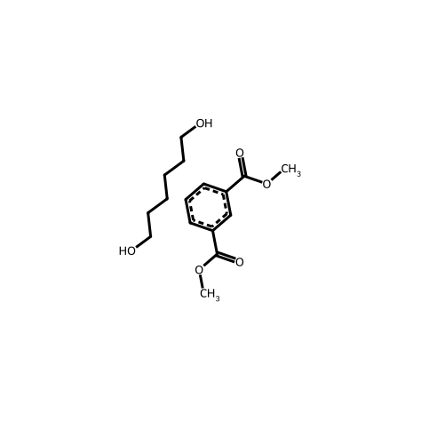 COC(=O)c1cccc(C(=O)OC)c1.OCCCCCCO